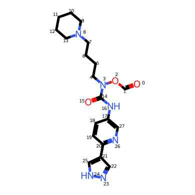 O=CON(CCCCN1CCCCC1)C(=O)Nc1ccc(-c2cn[nH]c2)nc1